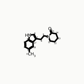 Cc1ccc2[nH]cc(CCN3CCCCC3=O)c2c1